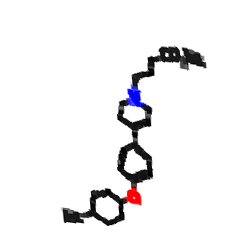 CCOC(=O)CCCN1CC=C(c2ccc(OC3CCC(CC)CC3)cc2)CC1